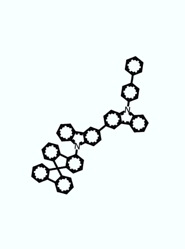 c1ccc(-c2ccc(-n3c4ccccc4c4cc(-c5ccc6c(c5)c5ccccc5n6-c5cccc6c5-c5ccccc5C65c6ccccc6-c6ccccc65)ccc43)cc2)cc1